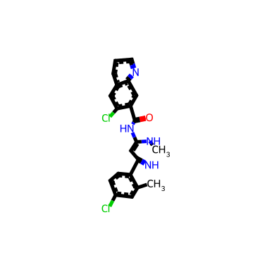 CN/C(=C\C(=N)c1ccc(Cl)cc1C)NC(=O)c1cc2ncccc2cc1Cl